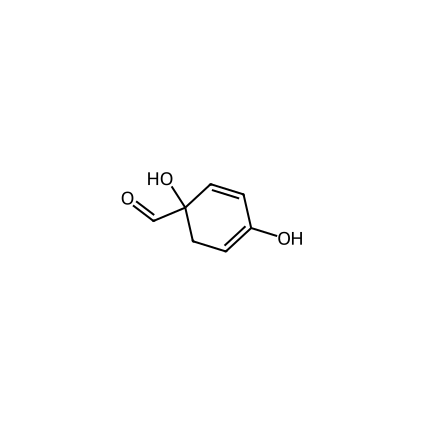 O=CC1(O)C=CC(O)=CC1